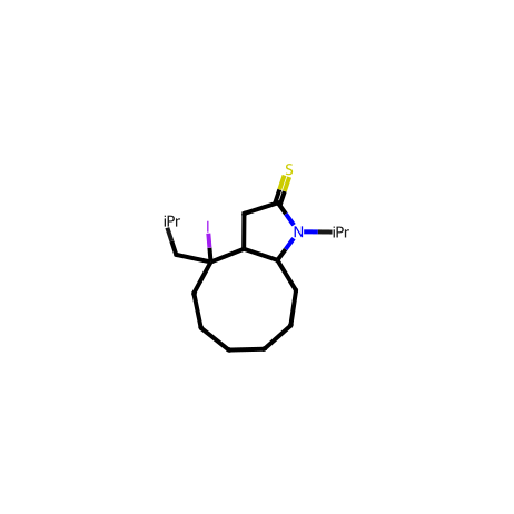 CC(C)CC1(I)CCCCCCC2C1CC(=S)N2C(C)C